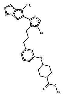 CCc1cnc(-c2cc3sccc3n2C)n1CCCc1cccc(OC2CCN(C(=O)OC(C)(C)C)CC2)c1